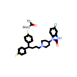 CCC(=O)OC.O=c1[nH]c2cc(Cl)ccc2n1C1CCN(CCCC(c2ccc(F)cc2)c2ccc(F)cc2)CC1